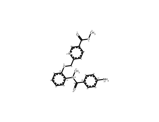 COC(=O)c1ccc(COc2ccccc2N(C)C(=O)c2ccc(N)cc2)nc1